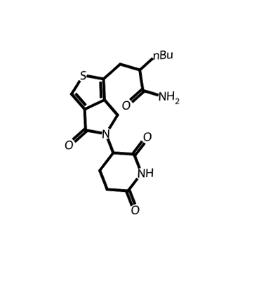 CCCCC(Cc1scc2c1CN(C1CCC(=O)NC1=O)C2=O)C(N)=O